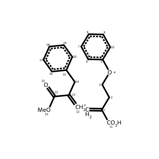 C=C(CCOc1ccccc1)C(=O)O.C=C(Cc1ccccc1)C(=O)OC